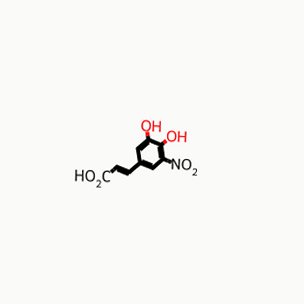 O=C(O)C=Cc1cc(O)c(O)c([N+](=O)[O-])c1